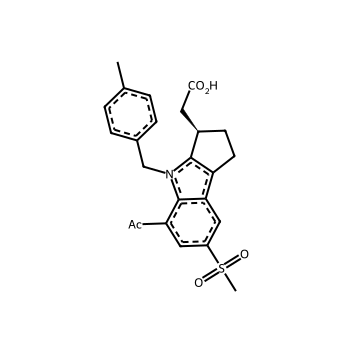 CC(=O)c1cc(S(C)(=O)=O)cc2c3c(n(Cc4ccc(C)cc4)c12)[C@@H](CC(=O)O)CC3